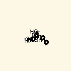 CB(O)N1C(=O)C(C2(O)CCN(BC=O)CC2)C[C@H]1Cc1ccc(-c2ccccc2)cc1